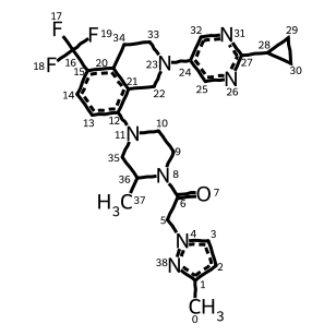 Cc1ccn(CC(=O)N2CCN(c3ccc(C(F)(F)F)c4c3CN(c3cnc(C5CC5)nc3)CC4)CC2C)n1